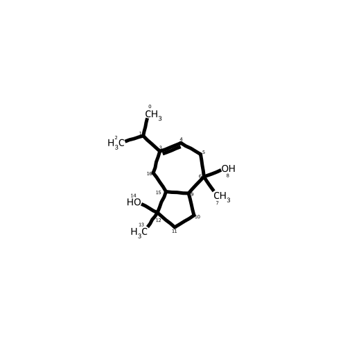 CC(C)C1=CCC(C)(O)C2CCC(C)(O)C2C1